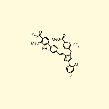 COC(=O)c1ccc(Cn2cc(-c3ccc(Cl)cc3Cl)nc2C=Cc2ccc(-c3ccc(C(=O)OC(C)C)c(OC)c3N)cc2)c(C(F)(F)F)c1